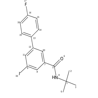 CC(C)(C)NC(=O)c1cc(I)cc(-c2ccc(F)cc2)c1